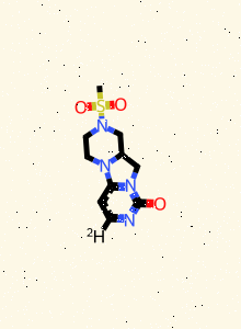 [2H]c1cc2n(c(=O)n1)CC1CN(S(C)(=O)=O)CCN21